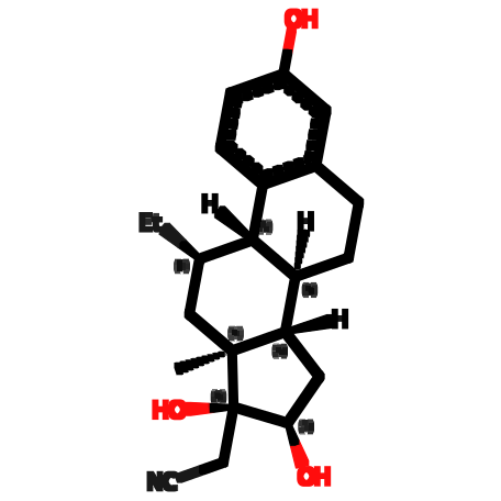 CC[C@@H]1C[C@@]2(C)[C@@H](C[C@@H](O)[C@]2(O)CC#N)[C@@H]2CCc3cc(O)ccc3[C@@H]12